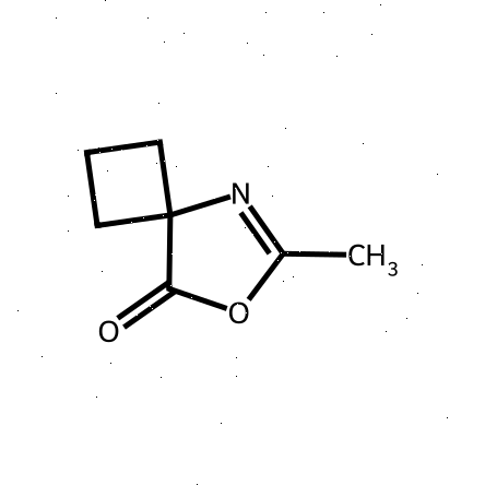 CC1=NC2(CCC2)C(=O)O1